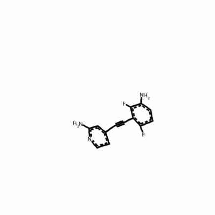 Nc1cc(C#Cc2c(F)ccc(N)c2F)ccn1